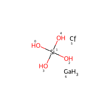 O[Si](O)(O)O.[Cf].[GaH3]